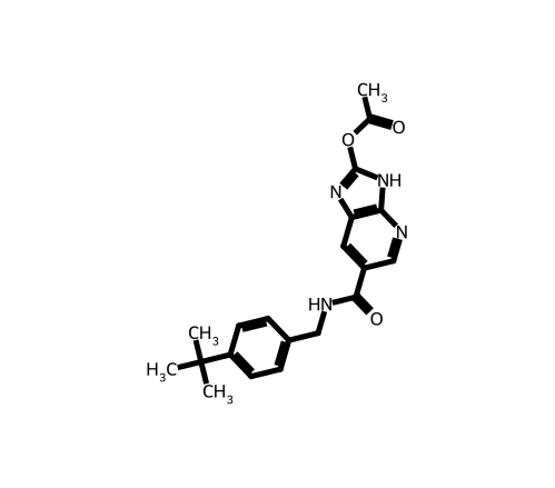 CC(=O)Oc1nc2cc(C(=O)NCc3ccc(C(C)(C)C)cc3)cnc2[nH]1